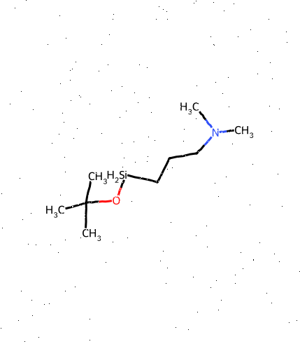 CN(C)CCC[SiH2]OC(C)(C)C